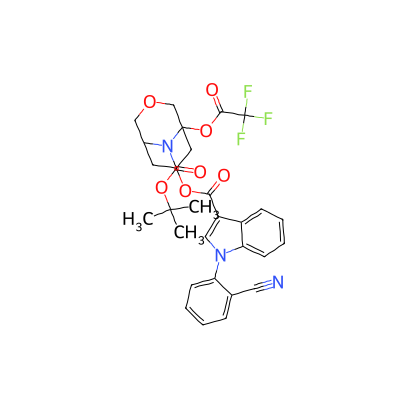 CC(C)(C)OC(=O)N1C2COCC1(OC(=O)C(F)(F)F)CC(OC(=O)c1cn(-c3ccccc3C#N)c3ccccc13)C2